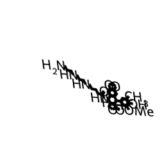 COc1cc(C2c3cc4c(cc3[C@@H](NC(=O)CCCCNCCCNCCCN)[C@H]3COC(=O)[C@H]23)OCO4)cc(C)c1O